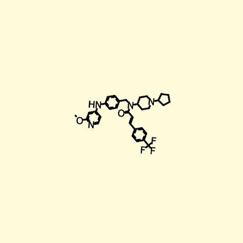 COc1cc(Nc2ccc(CN(C(=O)C=Cc3ccc(C(F)(F)F)cc3)C3CCN(C4CCCC4)CC3)cc2)ccn1